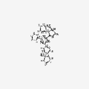 C1=CCCC(c2nc(-c3ccc4c(c3)oc3ccccc34)nc(-c3cccc4sc5ccccc5c34)n2)=C1